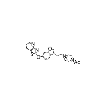 CC(=O)N1CC2CC1CN2CCc1coc2cc(Oc3nc4ncccc4s3)ccc12